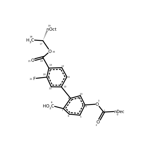 CCCCCCCCCCC(=O)Oc1ccc(C(=O)O)c(-c2ccc(C(=O)O[C@H](C)CCCCCCCC)c(F)c2)c1